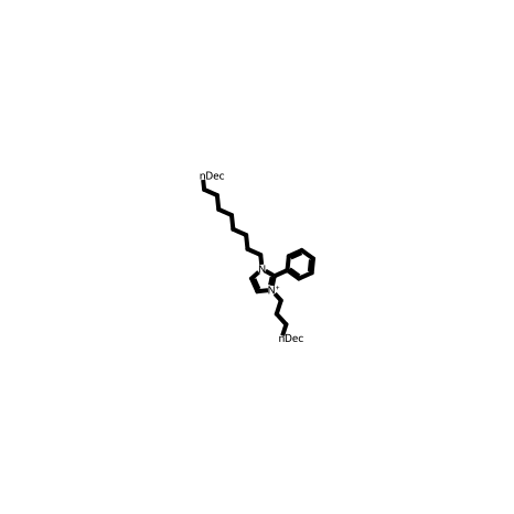 CCCCCCCCCCCCCCCCCCn1cc[n+](CCCCCCCCCCCCC)c1-c1ccccc1